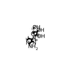 Nc1nccc2c1ncn2[C@@H]1O[C@H](CO)C(O)[C@@H]1O